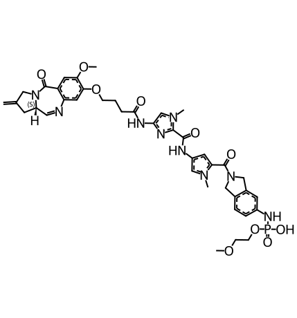 C=C1C[C@H]2C=Nc3cc(OCCCC(=O)Nc4cn(C)c(C(=O)Nc5cc(C(=O)N6Cc7ccc(NP(=O)(O)OCCOC)cc7C6)n(C)c5)n4)c(OC)cc3C(=O)N2C1